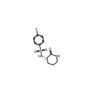 O=C1NCCC[C@@H]1NS(=O)(=O)c1ccc(F)cc1